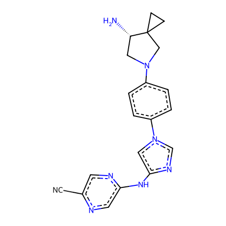 N#Cc1cnc(Nc2cn(-c3ccc(N4C[C@H](N)C5(CC5)C4)cc3)cn2)cn1